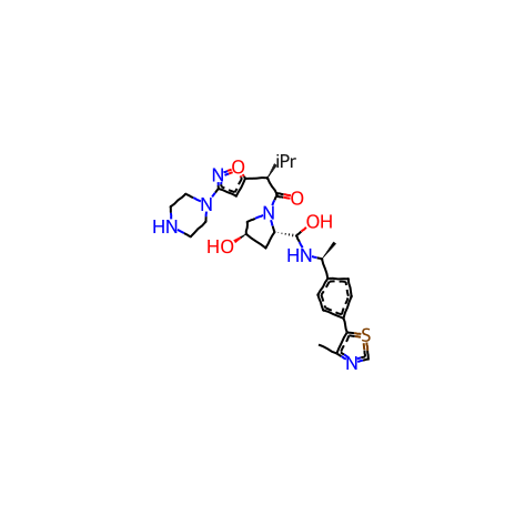 Cc1ncsc1-c1ccc([C@H](C)NC(O)[C@@H]2C[C@@H](O)CN2C(=O)[C@@H](c2cc(N3CCNCC3)no2)C(C)C)cc1